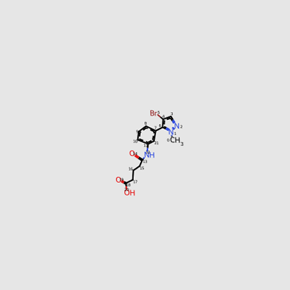 Cn1ncc(Br)c1-c1cccc(NC(=O)CCCC(=O)O)c1